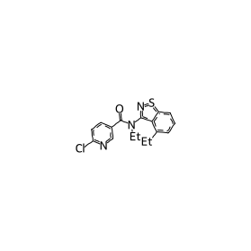 CCc1cccc2snc(N(CC)C(=O)c3ccc(Cl)nc3)c12